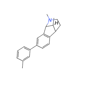 Cc1cccc(-c2ccc3c(c2)C2[C@@H](C)C3CCN2C)c1